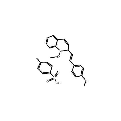 COc1ccc(C=CC2C=Cc3ccccc3N2OC)cc1.Cc1ccc(S(=O)(=O)O)cc1